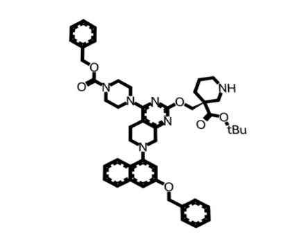 CC(C)(C)OC(=O)[C@]1(COc2nc3c(c(N4CCN(C(=O)OCc5ccccc5)CC4)n2)CCN(c2cc(OCc4ccccc4)cc4ccccc24)C3)CCCNC1